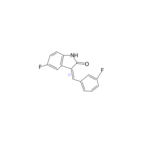 O=C1Nc2ccc(F)cc2/C1=C/c1cccc(F)c1